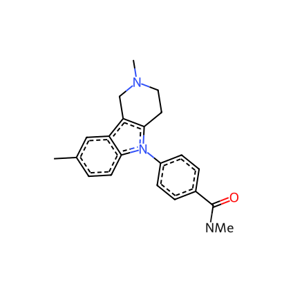 CNC(=O)c1ccc(-n2c3c(c4cc(C)ccc42)CN(C)CC3)cc1